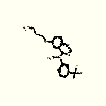 C=CCCNc1ccc2ncnc(N(N)c3cccc(C(F)(F)F)c3)c2c1